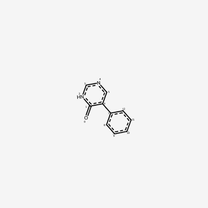 O=c1[nH]cncc1-c1c[c][c]cc1